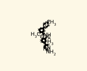 Cc1ccc(N2CCN(C)CC2)cc1C(=O)N[C@H](C)c1cccc(-c2cnc(N)nc2)c1